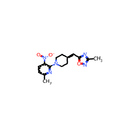 Cc1ccc([N+](=O)[O-])c(N2CCC(=Cc3nc(C)no3)CC2)n1